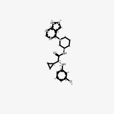 O=C(N[C@@H]1CCCN(c2ncnc3[nH]ncc23)C1)[C@H](Nc1cccc(Cl)c1)C1CC1